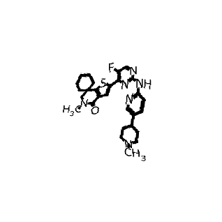 CN1CCC(c2ccc(Nc3ncc(F)c(-c4cc5c(s4)C4(CCCCC4)CN(C)C5=O)n3)nc2)CC1